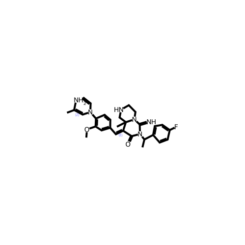 C=CN(/C=C(/C)N)c1ccc(/C=C2/C(=O)N(C(C)c3ccc(F)cc3)C(=N)N3CCNCC23C)cc1OC